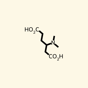 CN(C)C(CCC(=O)O)CC(=O)O